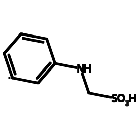 O=S(=O)(O)CNc1c[c]ccc1